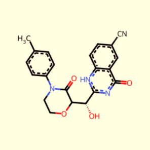 Cc1ccc(N2CCOC([C@@H](O)c3nc(=O)c4cc(C#N)ccc4[nH]3)C2=O)cc1